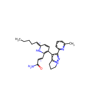 CCCC/C=C1/C=CC(c2c(-c3cccc(C)n3)nn3c2CCC3)=C(/C=C/C(N)=O)N1